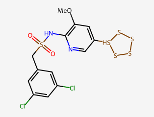 COc1cc([SH]2SSSS2)cnc1NS(=O)(=O)Cc1cc(Cl)cc(Cl)c1